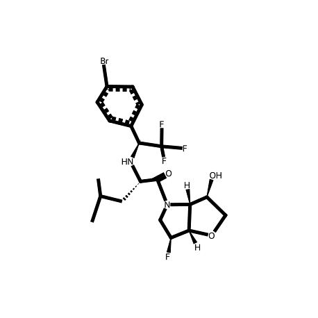 CC(C)C[C@H](N[C@@H](c1ccc(Br)cc1)C(F)(F)F)C(=O)N1C[C@H](F)[C@H]2OC[C@H](O)[C@H]21